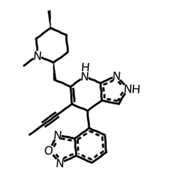 CC#CC1=C(C[C@@H]2CC[C@H](C)CN2C)Nc2n[nH]cc2C1c1cccc2nonc12